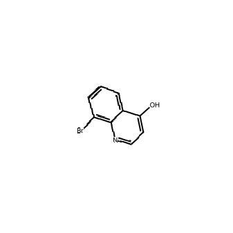 Oc1ccnc2c(Br)cccc12